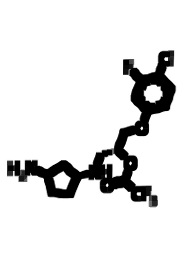 NC1CC[C@H](NC[C@H](COc2ccc(Cl)c(F)c2)OC(=O)C(F)(F)F)C1